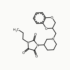 CCCN1C(=O)C(=O)N(C2CCCN(CC3COc4ccccc4O3)C2)C1=O